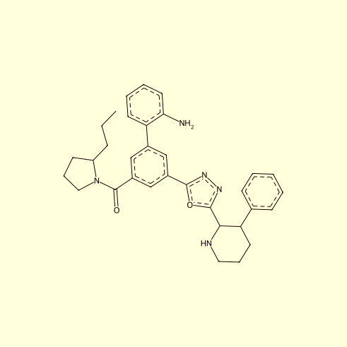 CCCC1CCCN1C(=O)c1cc(-c2nnc(C3NCCCC3c3ccccc3)o2)cc(-c2ccccc2N)c1